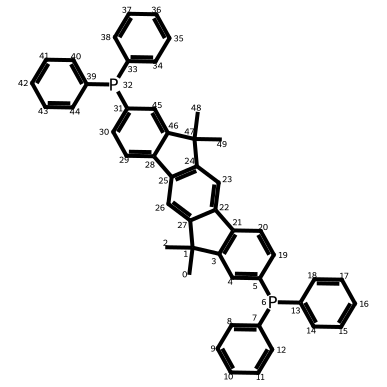 CC1(C)c2cc(P(c3ccccc3)c3ccccc3)ccc2-c2cc3c(cc21)-c1ccc(P(c2ccccc2)c2ccccc2)cc1C3(C)C